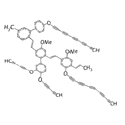 C#CC#CC#CC#CC#COc1ccc(-c2cc(C)ccc2/C=C/c2cc(-c3ccc(OC#CC#C)c(OC#CC#C)c3)c(/C=C/c3cc(OC#CC#CC#CC#CC#C)c(/C=C/C)cc3OC)cc2OC)cc1